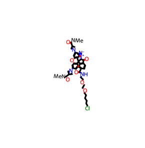 CNC(=O)C1CN(c2ccc3c(c2)Oc2cc(N4CC(C(=O)NC)C4)ccc2C32C(=[N+]=[N-])C(=O)c3ccc(C(=O)NCCOCCOCCCCCCCl)cc32)C1